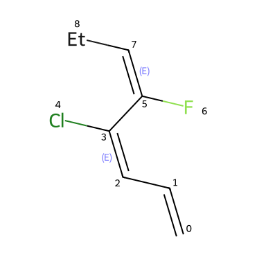 C=C/C=C(Cl)\C(F)=C/CC